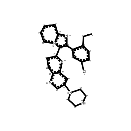 CCc1ccc(Cl)cc1-c1nc2ccccn2c1-c1ccc2ncc(N3CCNCC3)cc2n1